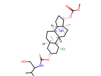 COC(=O)O[C@H]1CC[C@]2(N)[C@@H]3CC[C@@H]4C[C@@H](OC(=S)NC(CO)C(C)C)CC[C@]4(C)[C@H]3CC[C@]12C.Cl